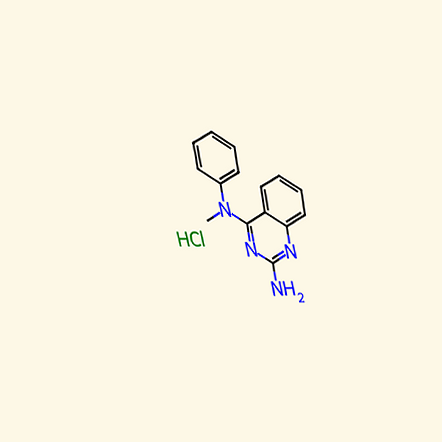 CN(c1ccccc1)c1nc(N)nc2ccccc12.Cl